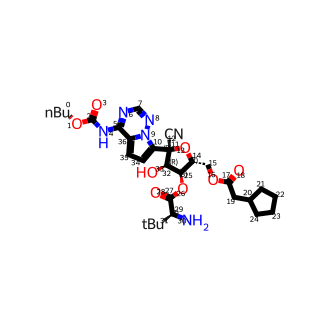 CCCCOC(=O)Nc1ncnn2c([C@]3(C#N)O[C@H](COC(=O)CC4CCCC4)[C@@H](OC(=O)[C@@H](N)C(C)(C)C)[C@H]3O)ccc12